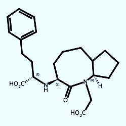 O=C(O)CN1C(=O)[C@@H](N[C@@H](CCc2ccccc2)C(=O)O)CCCC2CCC[C@H]21